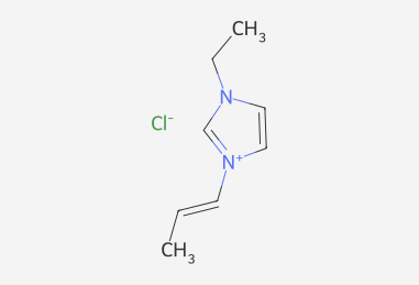 CC=C[n+]1ccn(CC)c1.[Cl-]